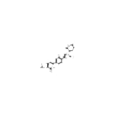 Cc1cc(-c2ccc(-c3cn([C@@H]4CCC(=O)NC4=O)c(=O)o3)c(F)c2)nc(N)c1OC(F)F